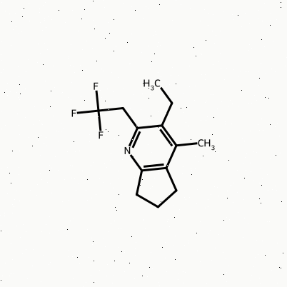 CCc1c(CC(F)(F)F)nc2c(c1C)CCC2